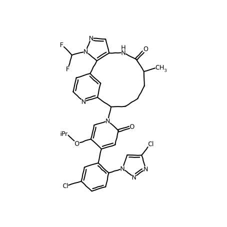 CC(C)Oc1cn(C2CCCC(C)C(=O)Nc3cnn(C(F)F)c3-c3ccnc2c3)c(=O)cc1-c1cc(Cl)ccc1-n1cc(Cl)nn1